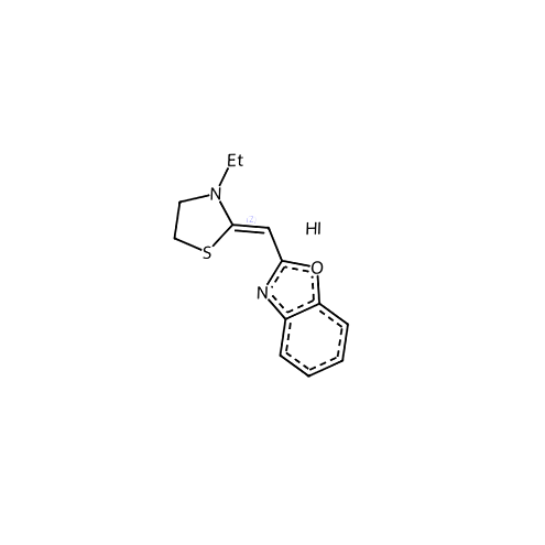 CCN1CCS/C1=C\c1nc2ccccc2o1.I